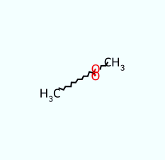 CCCCCCCCCCCCC(=O)OCCCC